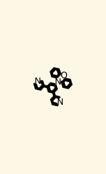 c1cncc(-c2cc(-c3cccnc3)cc(N3c4ccccc4Oc4ccccc43)c2)c1